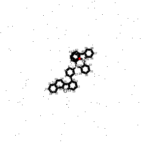 c1ccc(N(c2cccc(-c3cccc4oc5c6ccccc6ccc5c34)c2)c2ccccc2-n2c3ccccc3c3ccccc32)cc1